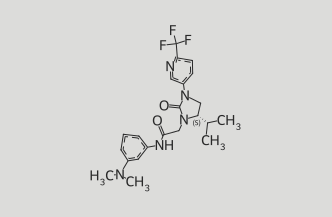 CC(C)[C@H]1CN(c2ccc(C(F)(F)F)nc2)C(=O)N1CC(=O)Nc1cccc(N(C)C)c1